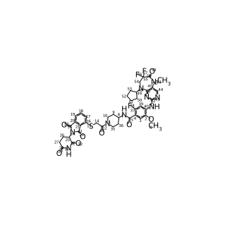 COc1cc(C(=O)NC2CCN(C(=O)CSc3cccc4c3C(=O)N(C3CCC(=O)NC3=O)C4=O)CC2)c(F)cc1Nc1ncc2c(n1)N(C1CCCC1)CC(F)(F)C(=O)N2C